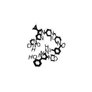 Cc1cc(C(=O)N2CC[C@H](CN3CCC(n4cc(C5CC5)c5cc(N6CCC(=O)NC6=O)cnc54)CC3)[C@@H](F)C2)ccc1[C@H]1CN(c2cc(-c3ccccc3O)nnc2N)CCO1